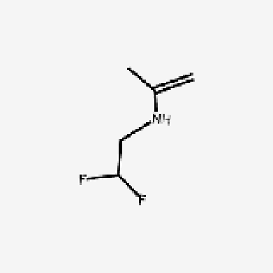 C=C(C)NCC(F)F